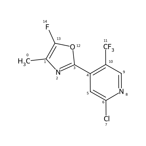 Cc1nc(-c2cc(Cl)ncc2C(F)(F)F)oc1F